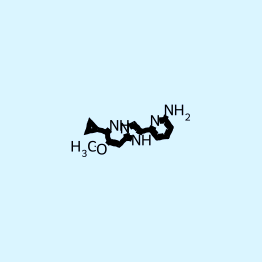 CO/C(=C/c1ncc(-c2cccc(N)n2)[nH]1)C(=N)C1CC1